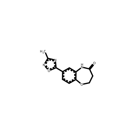 Cc1noc(-c2ccc3c(c2)NC(=O)CCO3)n1